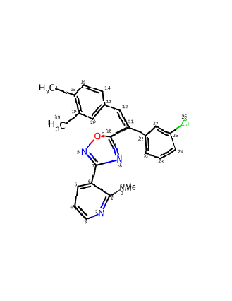 CNc1ncccc1-c1noc(/C(=C\c2ccc(C)c(C)c2)c2cccc(Cl)c2)n1